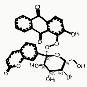 O=C1c2ccccc2C(=O)c2c1ccc(O)c2OO[C@]1(c2ccc3ccc(=O)oc3c2)O[C@H](CO)[C@H](O)[C@H](O)[C@H]1O